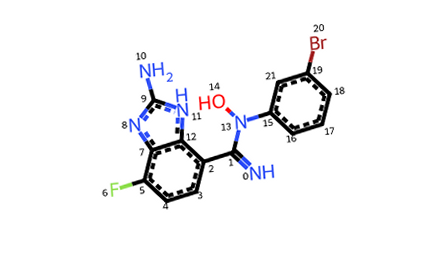 N=C(c1ccc(F)c2nc(N)[nH]c12)N(O)c1cccc(Br)c1